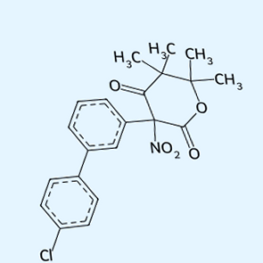 CC1(C)OC(=O)C(c2cccc(-c3ccc(Cl)cc3)c2)([N+](=O)[O-])C(=O)C1(C)C